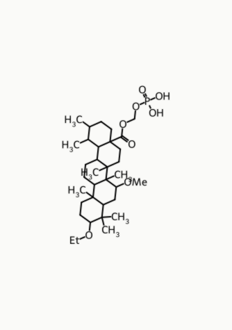 CCOC1CCC2(C)C(CC(OC)C3(C)C2CCC2C4C(C)C(C)CCC4(C(=O)OCOP(=O)(O)O)CCC23C)C1(C)C